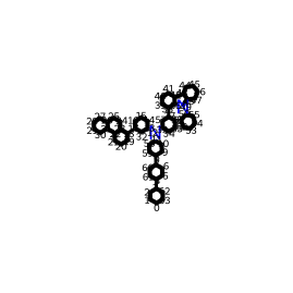 c1ccc(-c2ccc(-c3ccc(N(c4cccc(-c5cccc6c5ccc5ccccc56)c4)c4cccc(-c5cccc6c7ccccc7n(-c7ccccc7)c56)c4)cc3)cc2)cc1